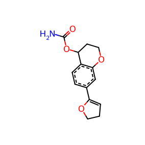 NC(=O)OC1CCOc2cc(C3=CCCO3)ccc21